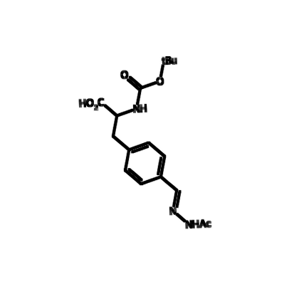 CC(=O)N/N=C/c1ccc(CC(NC(=O)OC(C)(C)C)C(=O)O)cc1